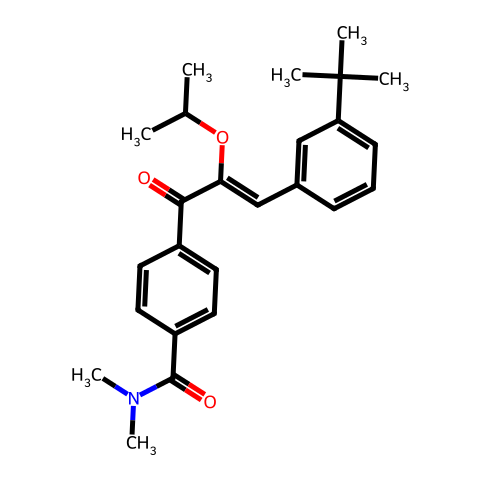 CC(C)OC(=Cc1cccc(C(C)(C)C)c1)C(=O)c1ccc(C(=O)N(C)C)cc1